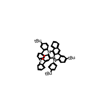 CC(C)(C)c1ccc(N2B3c4cc5c(cc4N(c4ccc(C(C)(C)C)cc4-c4ccccc4)c4c3c(cc3ccccc43)-c3cc(C(C)(C)C)ccc32)sc2ccccc25)cc1